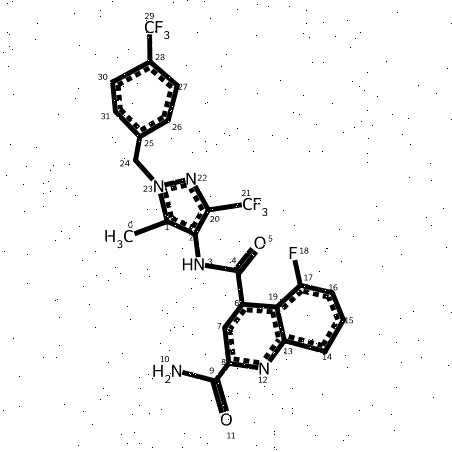 Cc1c(NC(=O)c2cc(C(N)=O)nc3cccc(F)c23)c(C(F)(F)F)nn1Cc1ccc(C(F)(F)F)cc1